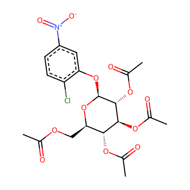 CC(=O)OC[C@H]1O[C@@H](Oc2cc([N+](=O)[O-])ccc2Cl)[C@H](OC(C)=O)[C@@H](OC(C)=O)[C@@H]1OC(C)=O